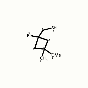 CCC1(CS)CC(C)(OC)C1